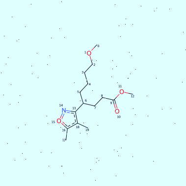 COCCCCC(CCC(=O)OC)c1noc(C)c1C